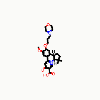 COc1cc2c(cc1OCCCN1CCOCC1)[C@@H]1CCC(C)(C)[C@@H]1n1cc(C(=O)O)c(=O)cc1-2